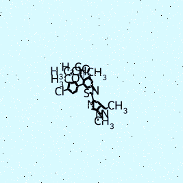 CC(=O)[C@@H](OC(C)(C)C)c1c(C)cc2nc(-c3cc4c(C)nn(C)c4cn3)sc2c1-c1ccc(Cl)cc1